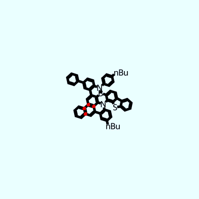 CCCCc1ccc(N2B3c4ccc5c(sc6ccccc65)c4N(c4ccc(CCCC)cc4-c4ccccc4)c4cc(-c5ccccc5)cc(c43)-c3cc(-c4ccccc4)ccc32)cc1